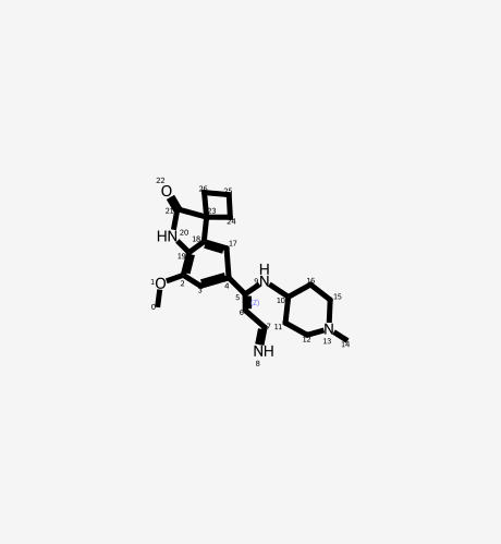 COc1cc(/C(=C/C=N)NC2CCN(C)CC2)cc2c1NC(=O)C21CCC1